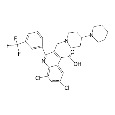 O=C(O)c1c(CN2CCC(N3CCCCC3)CC2)c(-c2cccc(C(F)(F)F)c2)nc2c(Cl)cc(Cl)cc12